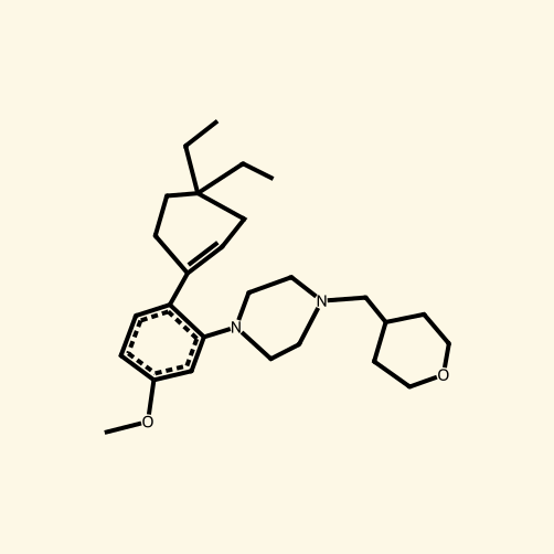 CCC1(CC)CC=C(c2ccc(OC)cc2N2CCN(CC3CCOCC3)CC2)CC1